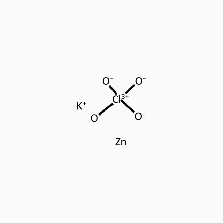 [K+].[O-][Cl+3]([O-])([O-])[O-].[Zn]